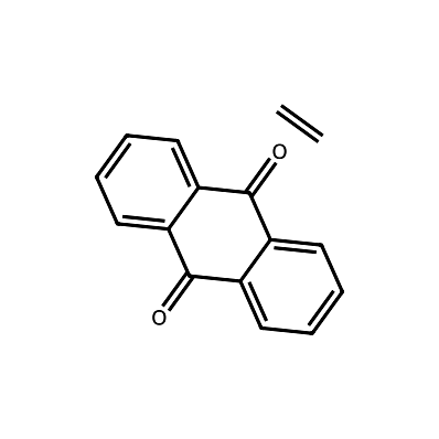 C=C.O=C1c2ccccc2C(=O)c2ccccc21